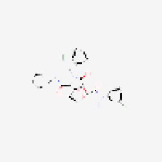 O=C(Nc1cc(Cl)cc(Cl)c1)C1C2C=CC3(O2)C1C(=O)N(Cc1ccccc1Cl)C3C(=O)NC1CCCCC1